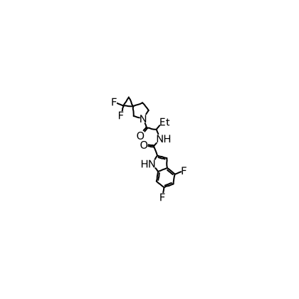 CCC(NC(=O)c1cc2c(F)cc(F)cc2[nH]1)C(=O)N1CCC2(C1)CC2(F)F